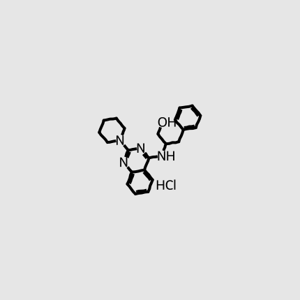 Cl.OCC(Cc1ccccc1)Nc1nc(N2CCCCC2)nc2ccccc12